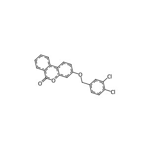 O=c1oc2cc(OCc3ccc(Cl)c(Cl)c3)ccc2c2ccccc12